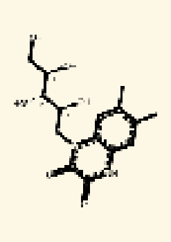 Cc1cc2[nH]c(=O)c(=O)n(C[C@H](O)[C@H](O)[C@H](O)CO)c2cc1C